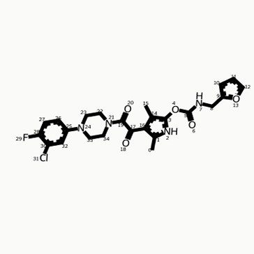 Cc1[nH]c(OC(=O)NCc2ccco2)c(C)c1C(=O)C(=O)N1CCN(c2ccc(F)c(Cl)c2)CC1